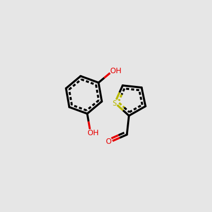 O=Cc1cccs1.Oc1cccc(O)c1